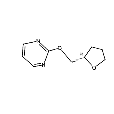 c1cnc(OC[C@@H]2CCCO2)nc1